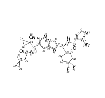 CC(C)n1nccc1C(=O)N[C@H](c1cn2ncc([C@H](NC(=O)CC3(C)CC3)C3(C#N)CC3)cc2n1)C1CCC(F)(F)CC1